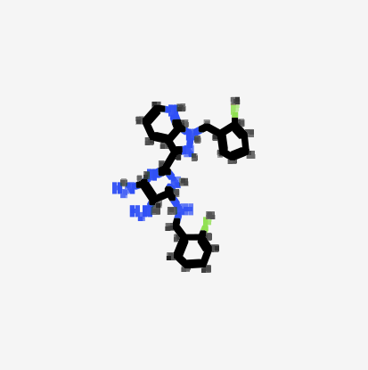 Nc1nc(-c2nn(Cc3ccccc3F)c3ncccc23)nc(NCc2ccccc2F)c1N